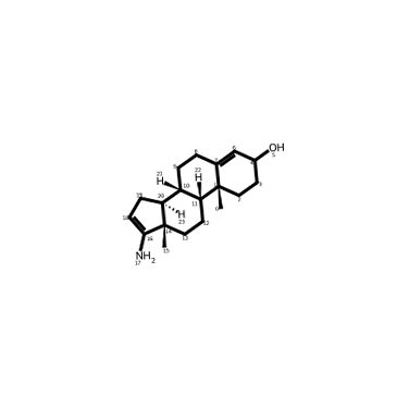 C[C@]12CCC(O)C=C1CC[C@@H]1[C@H]2CC[C@]2(C)C(N)=CC[C@@H]12